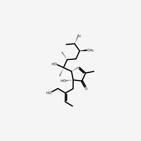 C/C=C(/CO)C[C@]1(O)C(=O)C(C)=C[C@H]1[C@@](C)(O)[C@H](C)C[C@H](OC(C)=O)[C@H](C)C(C)=O